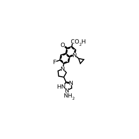 NN1CN=C(C2CCN(c3cc4c(cc3F)c(=O)c(C(=O)O)cn4C3CC3)C2)N1